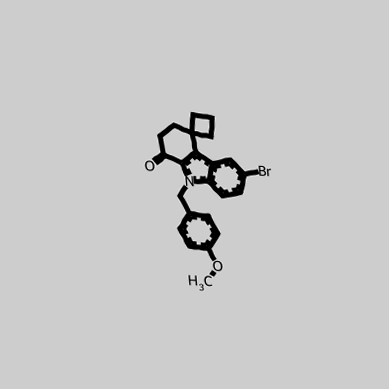 COc1ccc(Cn2c3c(c4cc(Br)ccc42)C2(CCC2)CCC3=O)cc1